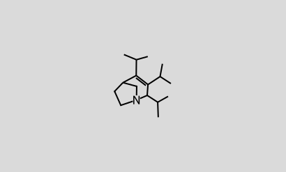 CC(C)C1=C(C(C)C)C(C(C)C)N2CCC1C2